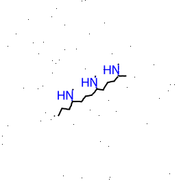 [CH2]CCC(CCCC(CCCC(C)NC)NC)NC